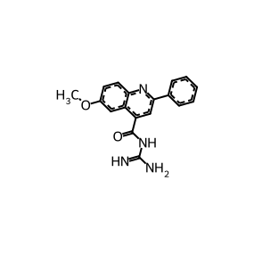 COc1ccc2nc(-c3ccccc3)cc(C(=O)NC(=N)N)c2c1